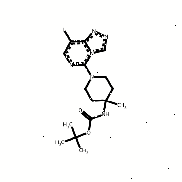 CC1(NC(=O)OC(C)(C)C)CCN(c2ncc(I)c3nncn23)CC1